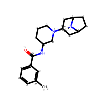 CCOC(=O)N1C2CCC1CC(N1CCCC(NC(=O)c3cccc(C)c3)C1)C2